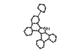 c1ccc(-c2ccc3c4ccccc4c4c([nH]c5c6ccccc6c6ccccc6c54)c3c2)cc1